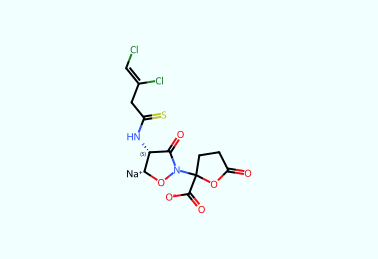 O=C1CCC(C(=O)[O-])(N2OC[C@H](NC(=S)CC(Cl)=CCl)C2=O)O1.[Na+]